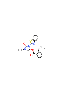 CCc1ccccc1C(=O)OC1CN(C)C(=O)N1c1nc2ccccc2s1